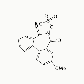 COc1ccc2c(c1)c(=O)n(OS(=O)(=O)C(F)(F)F)c(=O)c1ccccc12